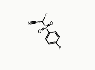 N#CC(F)S(=O)(=O)c1ccc(F)cc1